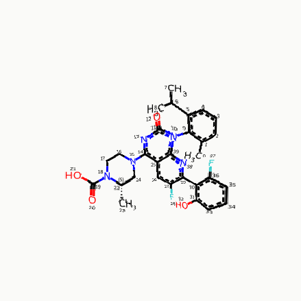 Cc1cccc(C(C)C)c1-n1c(=O)nc(N2CCN(C(=O)O)[C@@H](C)C2)c2cc(F)c(-c3c(O)cccc3F)nc21